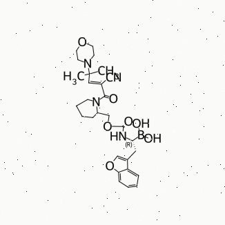 CC(C)(C=C(C#N)C(=O)N1CCCCC1COC(=O)N[C@@H](Cc1coc2ccccc12)B(O)O)N1CCOCC1